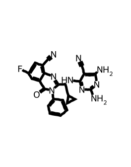 N#Cc1c(N)nc(N)nc1NC(c1nc2c(C#N)cc(F)cc2c(=O)n1-c1ccccc1)C1CC1